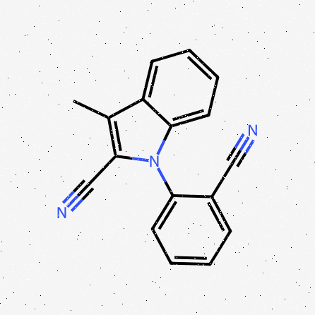 Cc1c(C#N)n(-c2ccccc2C#N)c2ccccc12